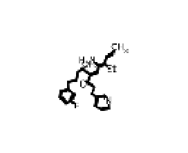 C=C(CCCc1cccc(F)c1)\C(=C/C(N)=C(/C=C/C)CC)C(=O)CCc1cccnc1